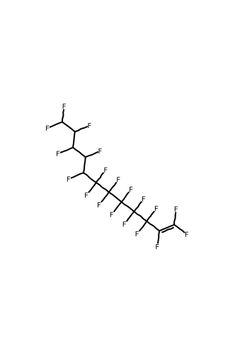 FC(F)=C(F)C(F)(F)C(F)(F)C(F)(F)C(F)(F)C(F)(F)C(F)C(F)C(F)C(F)C(F)F